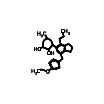 CCCc1c(C2CC(C)CC(O)C2O)cc(Cc2ccc(OCC)cc2)c2c1CCC2